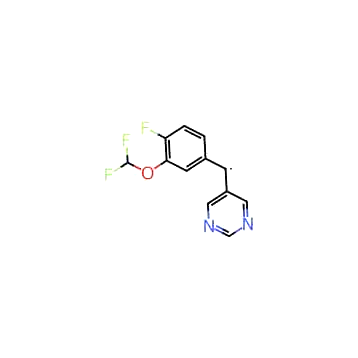 Fc1ccc([CH]c2cncnc2)cc1OC(F)F